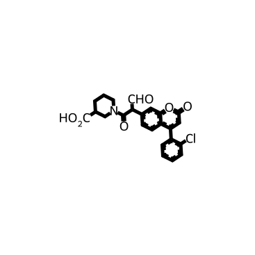 O=CC(C(=O)N1CCCC(C(=O)O)C1)c1ccc2c(-c3ccccc3Cl)cc(=O)oc2c1